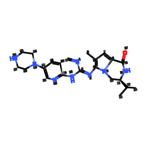 C=N/C(=N\c1c(C)cc2n1C[C@H](C(C)C)NC2=O)Nc1ccc(N2CCNCC2)cn1